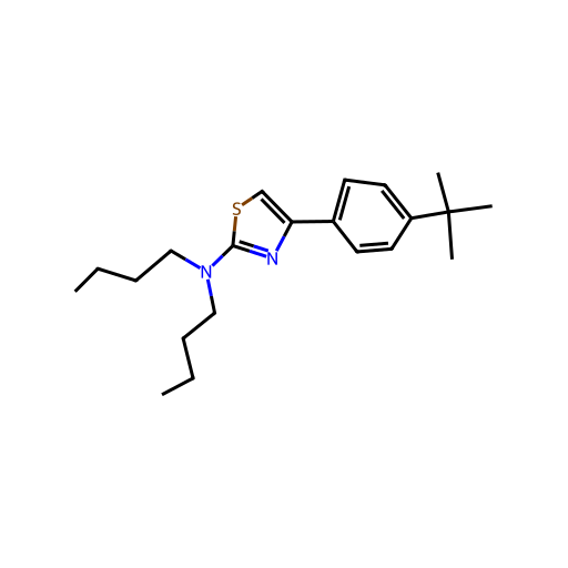 CCCCN(CCCC)c1nc(-c2ccc(C(C)(C)C)cc2)cs1